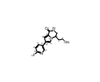 O=C1NCC(CCO)n2cc(-c3ccc(F)nc3)cc21